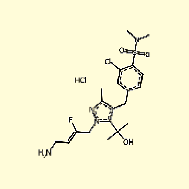 Cc1nn(CC(F)=CCN)c(C(C)(C)O)c1Cc1ccc(S(=O)(=O)N(C)C)c(Cl)c1.Cl